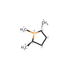 C[C@@H]1CC[C@@H](C)P1C